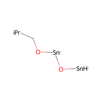 CC(C)C[O][Sn][O][SnH]